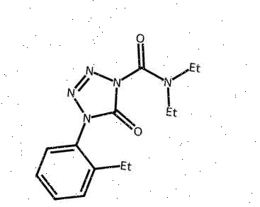 CCc1ccccc1-n1nnn(C(=O)N(CC)CC)c1=O